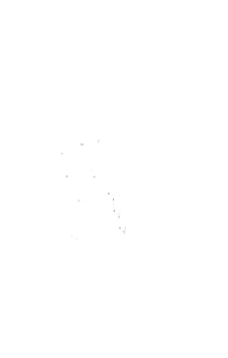 [N-]=[N+]=NC(c1ccccc1)C1CCCCC1